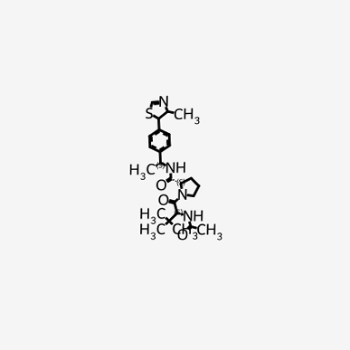 CC(=O)N[C@H](C(=O)N1CCC[C@H]1C(=O)N[C@@H](C)c1ccc(C2SC=NC2C)cc1)C(C)(C)C